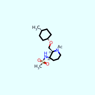 CC(=O)N1CCC[C@@H](NS(C)(=O)=O)[C@H]1CO[C@H]1CC[C@@H](C)CC1